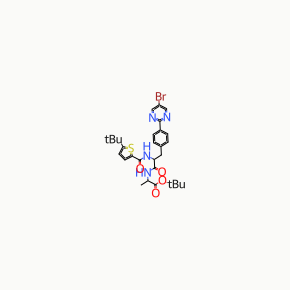 CC(NC(=O)C(Cc1ccc(-c2ncc(Br)cn2)cc1)NC(=O)c1ccc(C(C)(C)C)s1)C(=O)OC(C)(C)C